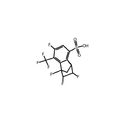 O=S(=O)(O)c1cc(F)c(C(F)(F)F)c2c1C1CC2(F)C(F)C1F